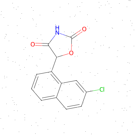 O=C1NC(=O)C(c2cccc3ccc(Cl)cc23)O1